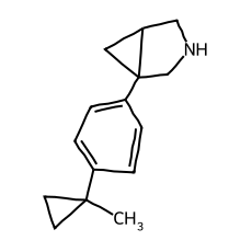 CC1(c2ccc(C34CNCC3C4)cc2)CC1